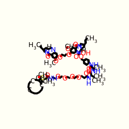 C/C=C/C1=CN2C(=O)c3cc(OC)c(OCCCOc4cc5c(cc4OC)C(=O)N4C=C(/C=C/C)C[C@H]4[C@H](O)N5C(=O)OCc4ccc(NC(=O)[C@H](C)NC(=O)[C@@H](NC(=O)CCOCCOCCOCCOCCNC(=O)CSC(CC)(CC)C5(C)CCCCCCCCCCCCCC5)C(C)C)cc4)cc3N=C[C@@H]2C1